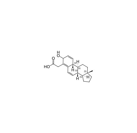 C[C@@]12CCC[C@H]1[C@@H]1C=CC3=C(CC(=O)O)C(O)C=C[C@@H]3[C@H]1CC2